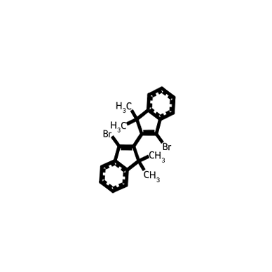 CC1(C)C(C2=C(Br)c3ccccc3C2(C)C)=C(Br)c2ccccc21